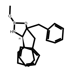 COB1N[C@H](C2CCCCC2)C(Cc2ccccc2)(Cc2ccccc2)O1